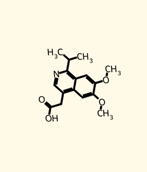 COc1cc2c(CC(=O)O)cnc(C(C)C)c2cc1OC